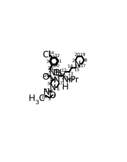 CC1COC(N2CCN(C(=O)[C@@H](CCCCN3CCCCC3)NC(C)C)[C@H](C(=O)NCc3cccc(Cl)c3)C2)=N1